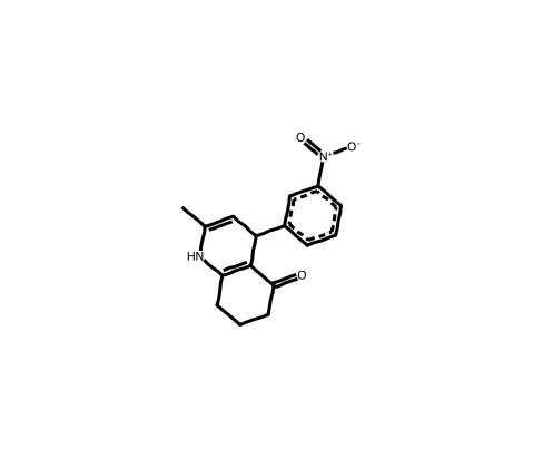 CC1=CC(c2cccc([N+](=O)[O-])c2)C2=C(CCCC2=O)N1